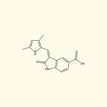 Cc1cc(C)c(/C=C2\C(=O)Nc3ccc(C(=O)O)cc32)[nH]1